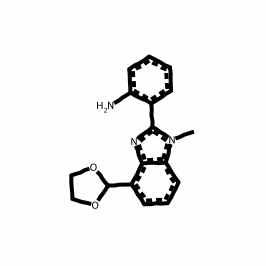 Cn1c(-c2ccccc2N)nc2c(C3OCCO3)cccc21